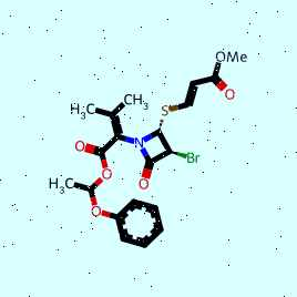 COC(=O)/C=C/S[C@@H]1[C@@H](Br)C(=O)N1C(C(=O)OC(C)Oc1ccccc1)=C(C)C